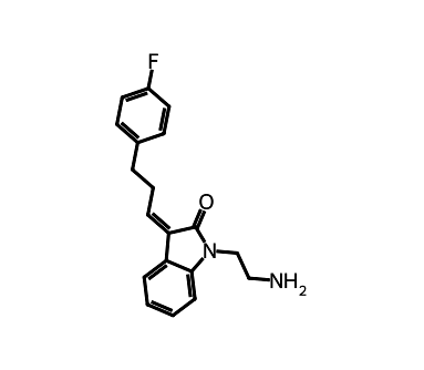 NCCN1C(=O)C(=CCCc2ccc(F)cc2)c2ccccc21